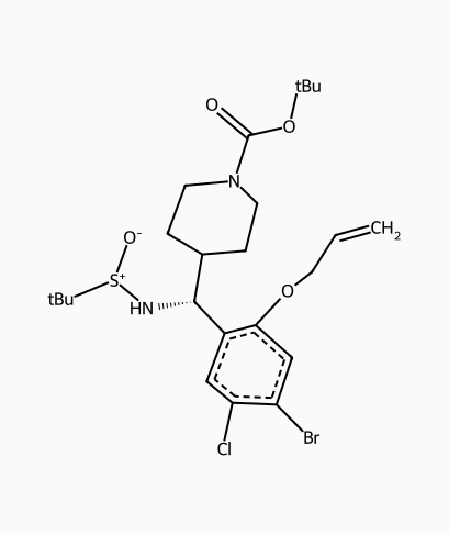 C=CCOc1cc(Br)c(Cl)cc1[C@H](N[S+]([O-])C(C)(C)C)C1CCN(C(=O)OC(C)(C)C)CC1